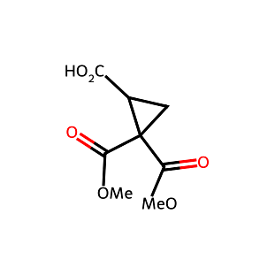 COC(=O)C1(C(=O)OC)CC1C(=O)O